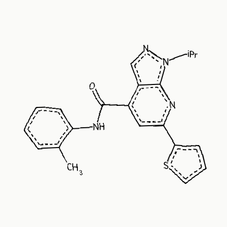 Cc1ccccc1NC(=O)c1cc(-c2cccs2)nc2c1cnn2C(C)C